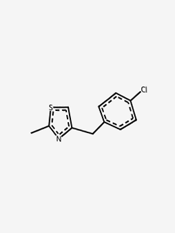 Cc1nc(Cc2ccc(Cl)cc2)cs1